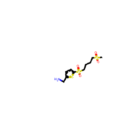 CS(=O)(=O)CCCCS(=O)(=O)c1ccc(CN)s1